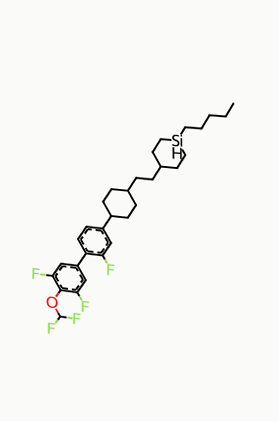 CCCCC[SiH]1CCC(CCC2CCC(c3ccc(-c4cc(F)c(OC(F)F)c(F)c4)c(F)c3)CC2)CC1